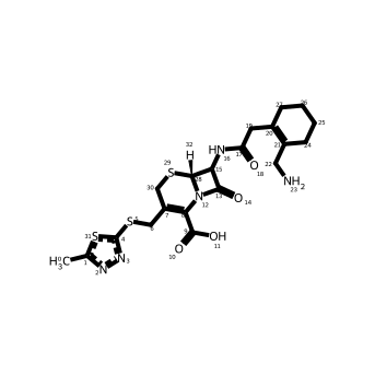 Cc1nnc(SCC2=C(C(=O)O)N3C(=O)C(NC(=O)CC4=C(CN)CCCC4)[C@H]3SC2)s1